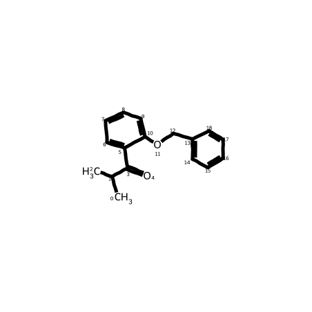 CC(C)C(=O)c1ccccc1OCc1ccccc1